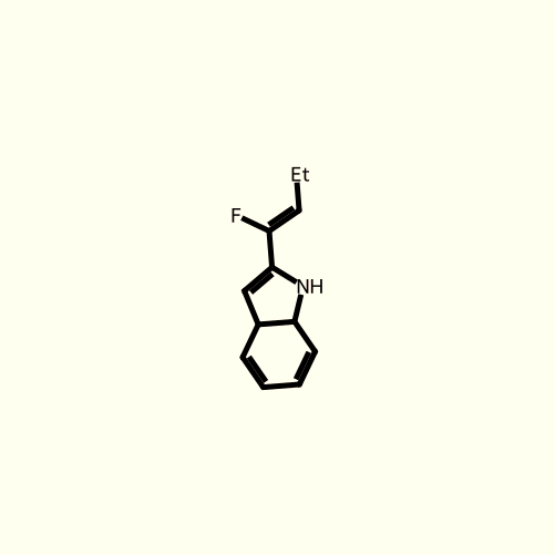 CC/C=C(\F)C1=CC2C=CC=CC2N1